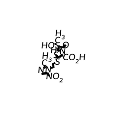 Cc1ncc([N+](=O)[O-])n1CCS[C@@H]1S[C@@H]2[C@H](C(C)O)C(=O)N2[C@@H]1C(=O)O